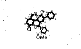 COC[C@H]1CCCN1C(=O)c1cc(-c2ccccc2)c(=O)n2ncc3ccc(Cl)cc3c12